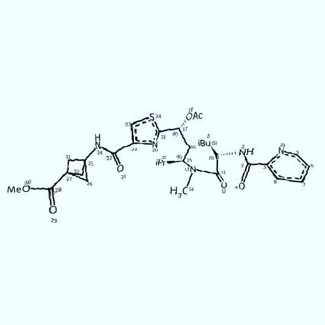 CC[C@H](C)[C@H](NC(=O)c1ccccn1)C(=O)N(C)[C@H](C[C@@H](OC(C)=O)c1nc(C(=O)NC23CC(C(=O)OC)(C2)C3)cs1)C(C)C